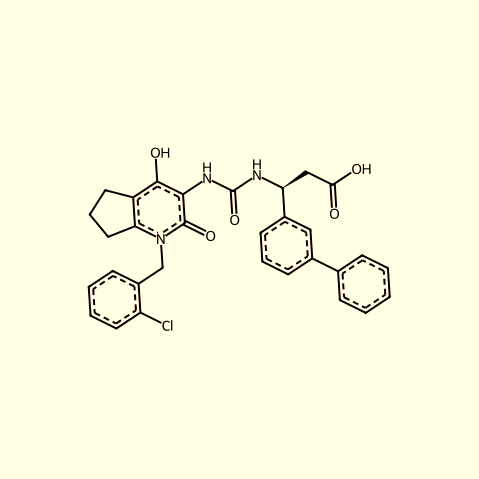 O=C(O)C[C@H](NC(=O)Nc1c(O)c2c(n(Cc3ccccc3Cl)c1=O)CCC2)c1cccc(-c2ccccc2)c1